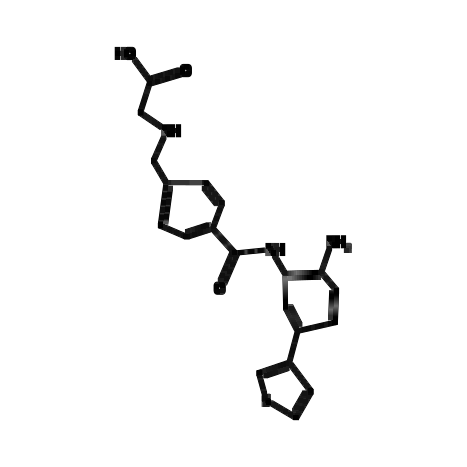 Nc1ccc(-c2ccsc2)cc1NC(=O)c1ccc(CNCC(=O)O)cc1